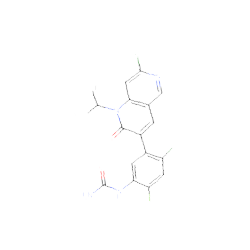 CC(C)n1c(=O)c(-c2cc(NC(N)=O)c(F)cc2Cl)cc2cnc(Cl)cc21